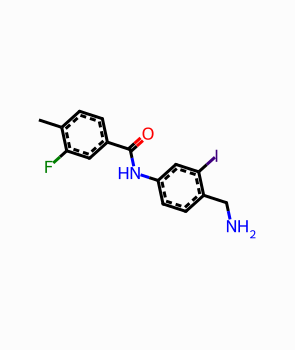 Cc1ccc(C(=O)Nc2ccc(CN)c(I)c2)cc1F